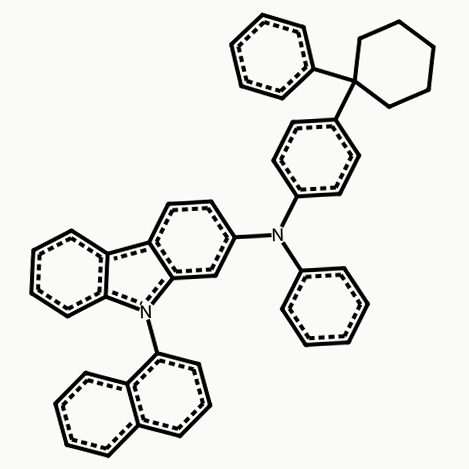 c1ccc(N(c2ccc(C3(c4ccccc4)CCCCC3)cc2)c2ccc3c4ccccc4n(-c4cccc5ccccc45)c3c2)cc1